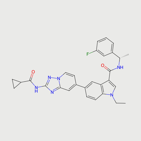 CCn1cc(C(=O)N[C@@H](C)c2cccc(F)c2)c2cc(-c3ccn4nc(NC(=O)C5CC5)nc4c3)ccc21